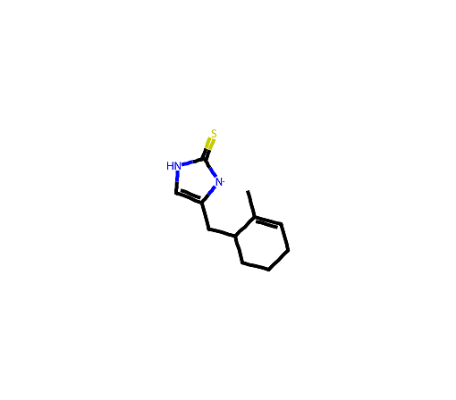 CC1=CCCCC1CC1=CNC(=S)[N]1